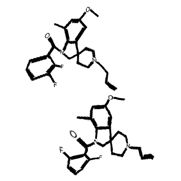 C=CCN1CCC2(CC1)CN(C(=O)c1c(F)cccc1F)c1c(C)cc(OC)cc12.C=CCN1CCC2(CC1)CN(C(=O)c1cccc(F)c1F)c1c(C)cc(OC)cc12